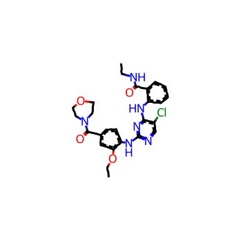 CCNC(=O)c1ccccc1Nc1nc(Nc2ccc(C(=O)N3CCOCC3)cc2OCC)ncc1Cl